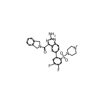 CN1CCN(S(=O)(=O)c2cc(F)c(F)cc2-c2ccc3nc(N)nc(C(=O)N4Cc5ccccc5C4)c3c2)CC1